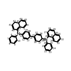 C1=CC2=C(N(c3ccccc3)c3ccc(C4=CCC(N(c5ccccc5)c5cccc6ccccc56)C=C4)cc3)C=CCC2C=C1